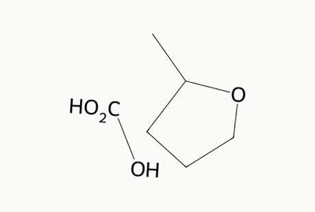 CC1CCCO1.O=C(O)O